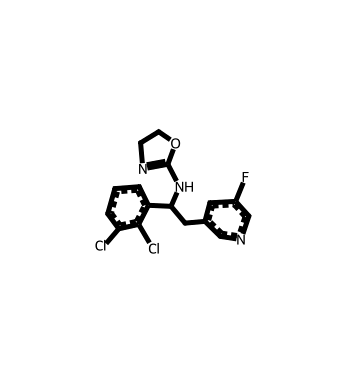 Fc1cncc(CC(NC2=NCCO2)c2cccc(Cl)c2Cl)c1